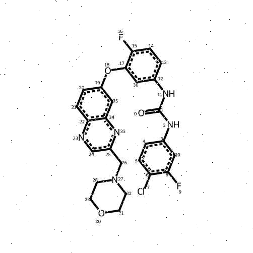 O=C(Nc1ccc(Cl)c(F)c1)Nc1ccc(F)c(Oc2ccc3ncc(CN4CCOCC4)nc3c2)c1